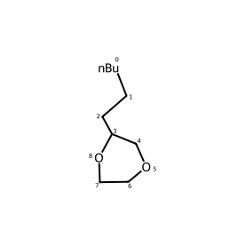 CCCCCCC1COCCO1